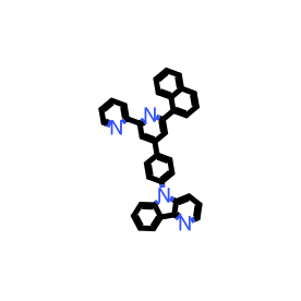 c1ccc(-c2cc(-c3ccc(-n4c5ccccc5c5ncccc54)cc3)cc(-c3cccc4ccccc34)n2)nc1